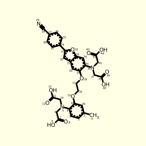 Cc1ccc(N(CC(=O)O)CC(=O)O)c(OCCOc2cc3cc(-c4ccc(C#N)cc4)oc3cc2N(CC(=O)O)CC(=O)O)c1